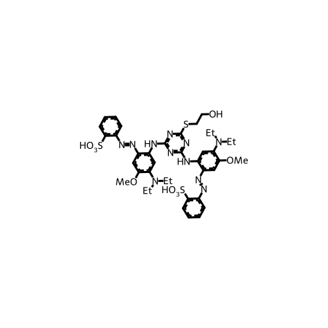 CCN(CC)c1cc(Nc2nc(Nc3cc(N(CC)CC)c(OC)cc3/N=N/c3ccccc3S(=O)(=O)O)nc(SCCO)n2)c(/N=N/c2ccccc2S(=O)(=O)O)cc1OC